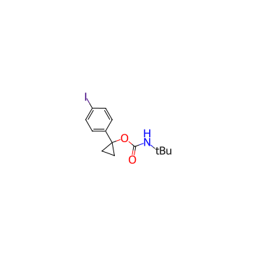 CC(C)(C)NC(=O)OC1(c2ccc(I)cc2)CC1